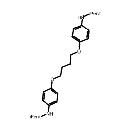 CCCC(C)Nc1ccc(OCCCCOc2ccc(NC(C)CCC)cc2)cc1